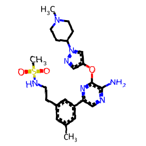 Cc1cc(CCNS(C)(=O)=O)cc(-c2cnc(N)c(Oc3cnn(C4CCN(C)CC4)c3)n2)c1